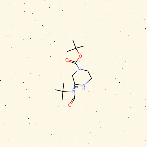 CC(C)(C)OC(=O)N1CCN[C@@H](N(C=O)C(C)(C)C)C1